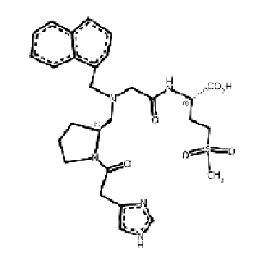 CS(=O)(=O)CC[C@H](NC(=O)CN(Cc1cccc2ccccc12)C[C@@H]1CCCN1C(=O)Cc1c[nH]cn1)C(=O)O